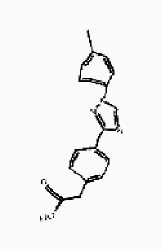 Cc1ccc(-n2cnc(-c3ccc(CC(=O)O)cc3)n2)cc1